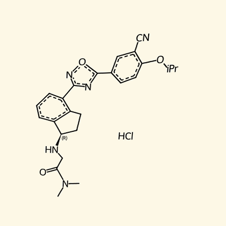 CC(C)Oc1ccc(-c2nc(-c3cccc4c3CC[C@H]4NCC(=O)N(C)C)no2)cc1C#N.Cl